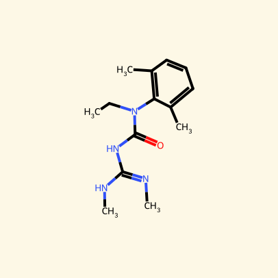 CCN(C(=O)NC(=NC)NC)c1c(C)cccc1C